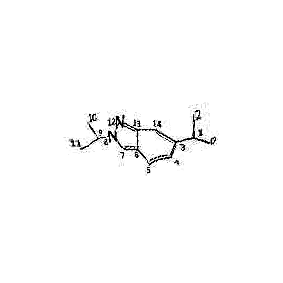 CC(C)c1ccc2cn(C(C)C)nc2c1